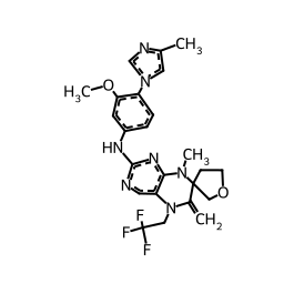 C=C1N(CC(F)(F)F)c2cnc(Nc3ccc(-n4cnc(C)c4)c(OC)c3)nc2N(C)C12CCOC2